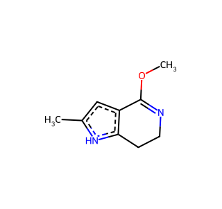 COC1=NCCc2[nH]c(C)cc21